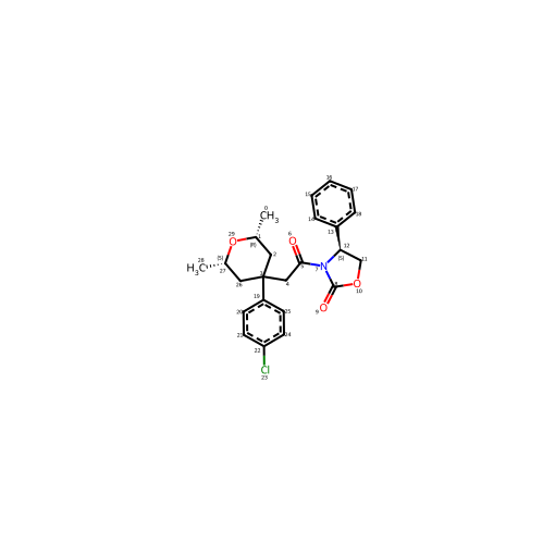 C[C@@H]1CC(CC(=O)N2C(=O)OC[C@@H]2c2ccccc2)(c2ccc(Cl)cc2)C[C@H](C)O1